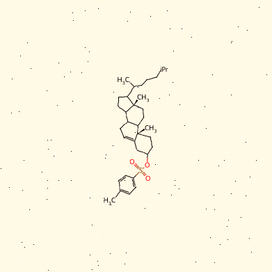 Cc1ccc(S(=O)(=O)OC2CC[C@]3(C)C(=CCC4C5CCC(C(C)CCCC(C)C)[C@]5(C)CCC43)C2)cc1